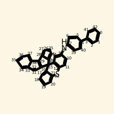 c1ccc(-c2ccc(Nc3ccc4c(c3)C3(c5ccccc5S4)c4ccccc4-c4c3ccc3ccccc43)cc2)cc1